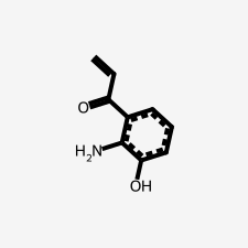 C=CC(=O)c1cccc(O)c1N